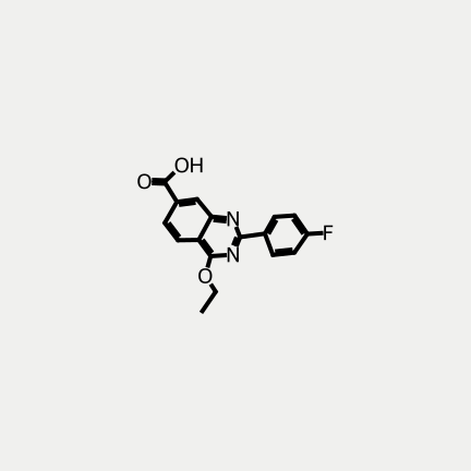 CCOc1nc(-c2ccc(F)cc2)nc2cc(C(=O)O)ccc12